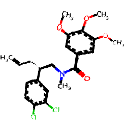 C=CC[C@H](CN(C)C(=O)c1cc(OC)c(OC)c(OC)c1)c1ccc(Cl)c(Cl)c1